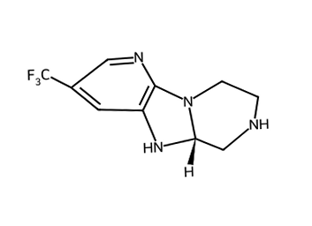 FC(F)(F)c1cnc2c(c1)N[C@H]1CNCCN21